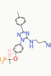 BC(C)(P)Oc1ccc(-n2nc(-c3ccc(C)cc3)nc2NCCC=N)cc1